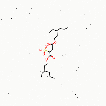 CCCC(CC)CCOC(=O)CC(C(=O)OCCC(CC)CCC)S(=O)(=O)O